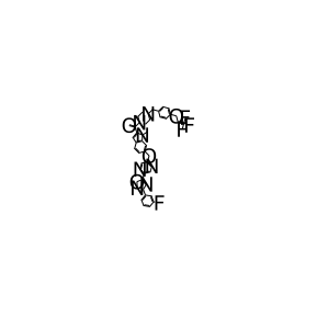 Cn1c(C(=O)N2CCN(Cc3ccc(OCC(F)(F)F)cc3)CC2)cc2ccc(Oc3cnc(-c4nc(-c5cccc(F)c5)no4)cn3)cc21